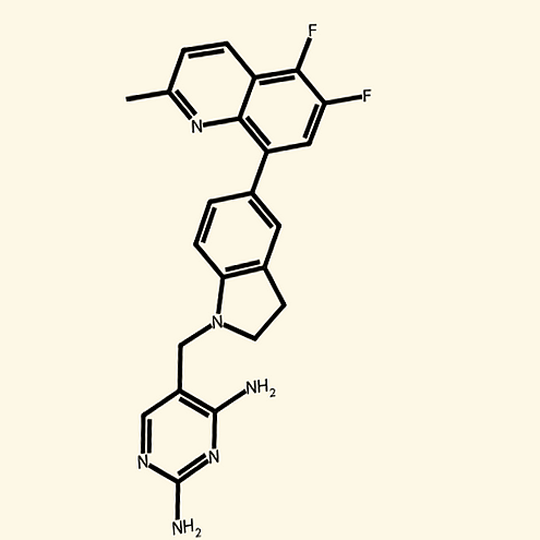 Cc1ccc2c(F)c(F)cc(-c3ccc4c(c3)CCN4Cc3cnc(N)nc3N)c2n1